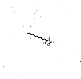 CCCCCCCCCCC(Cl)NC(=O)Cl